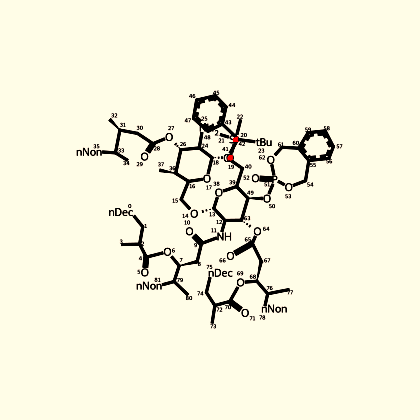 CCCCCCCCCCCC(C)C(=O)O[C@@H](CC(=O)NC1[C@H](OCC2O[C@@H](O[Si](C)(C)C(C)(C)C)C(N)[C@@H](OC(=O)C[C@H](C)C(C)CCCCCCCCC)[C@@H]2C)OC(COCc2ccccc2)[C@@H](OP2(=O)OCc3ccccc3CO2)[C@@H]1OC(=O)C[C@H](OC(=O)C(C)CCCCCCCCCCC)C(C)CCCCCCCCC)C(C)CCCCCCCCC